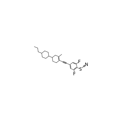 CCCC1CCC(C2CCC(C#Cc3cc(F)c(SC#N)c(F)c3)=C(C)C2)CC1